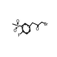 CS(=O)(=O)c1cc(CC(=O)CBr)ccc1F